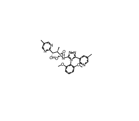 COc1cccc(OC)c1-n1c(NS(=O)(=O)[C@H](C)[C@H](O)c2ncc(C)cn2)nnc1-c1cncc(C)c1